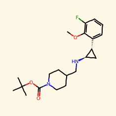 COc1c(F)cccc1[C@@H]1C[C@H]1NCC1CCN(C(=O)OC(C)(C)C)CC1